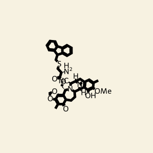 COc1c(C)cc2c(c1O)[C@H]1C3CCC4C(=O)C(C)=C5OCOC5=C4[C@H](COC(=O)[C@@H](N)CSCC4c5ccccc5-c5ccccc54)N3[C@@H](C#N)[C@H](C2)N1C